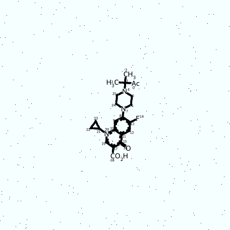 CC(=O)C(C)(C)N1CCN(c2cc3c(cc2F)c(=O)c(C(=O)O)cn3C2CC2)CC1